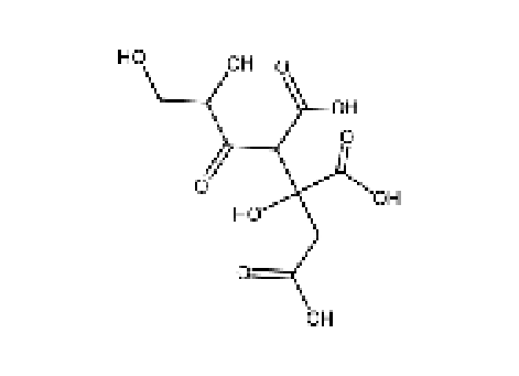 O=C(O)CC(O)(C(=O)O)C(C(=O)O)C(=O)C(O)CO